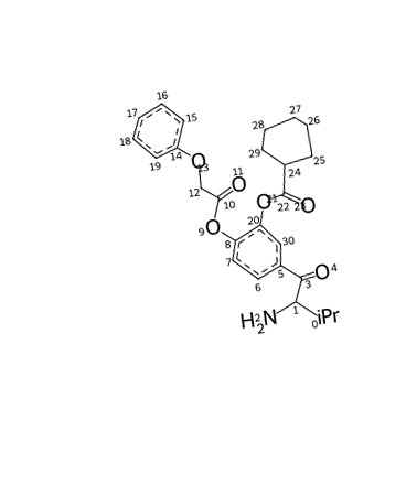 CC(C)C(N)C(=O)c1ccc(OC(=O)COc2ccccc2)c(OC(=O)C2CCCCC2)c1